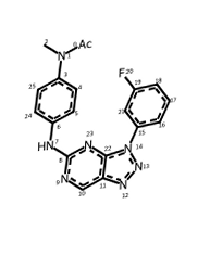 CC(=O)N(C)c1ccc(Nc2ncc3nnn(-c4cccc(F)c4)c3n2)cc1